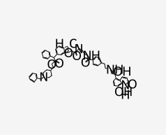 CCN(CCNC(=O)c1ccc(CCNC[C@H](O)c2ccc(O)c3[nH]c(=O)ccc23)cc1)C(=O)COc1cccc(C(C(=O)OCC2CCN(Cc3ccccc3)CC2)c2ccccc2)c1